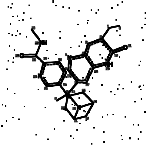 CCc1cc2ncc(C(C)N3C4CC3CN(c3ccc(C(=O)NC)nc3)C4)cc2[nH]c1=O